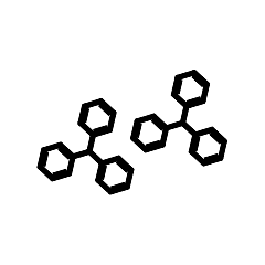 c1ccc(C(c2ccccc2)c2ccccc2)cc1.c1ccc(C(c2ccccc2)c2ccccc2)cc1